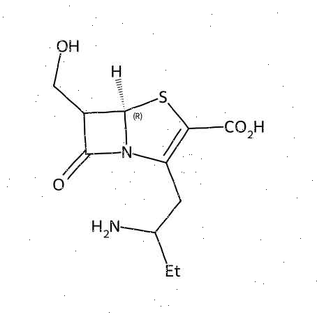 CCC(N)CC1=C(C(=O)O)S[C@@H]2C(CO)C(=O)N12